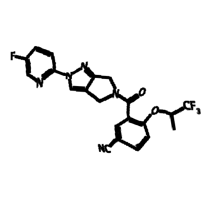 CC(Oc1ccc(C#N)cc1C(=O)N1Cc2cn(-c3ccc(F)cn3)nc2C1)C(F)(F)F